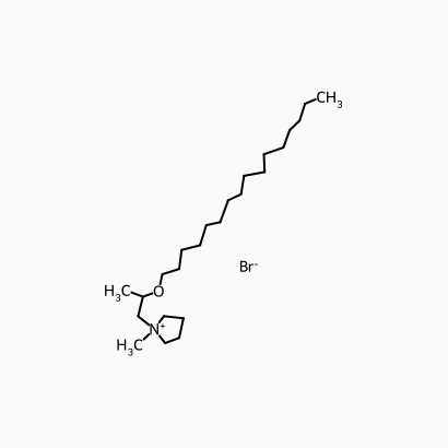 CCCCCCCCCCCCCCCCOC(C)C[N+]1(C)CCCC1.[Br-]